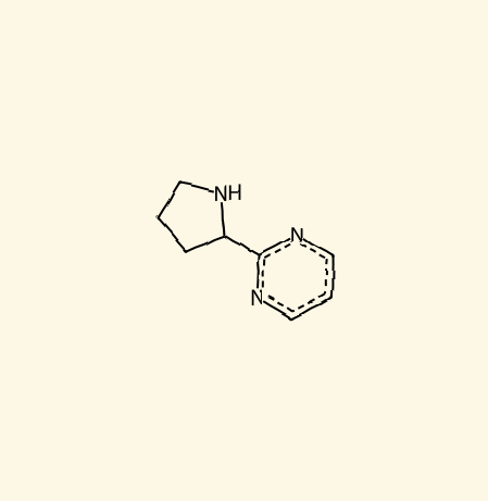 c1cnc(C2CCCN2)nc1